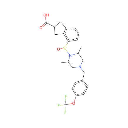 CC1CN(Cc2ccc(OC(F)(F)F)cc2)CC(C)N1[S+]([O-])c1cccc2c1CC(C(=O)O)C2